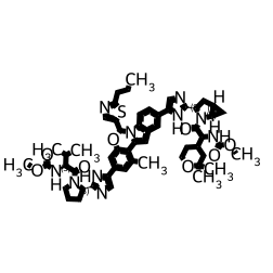 CCCc1ncc(C2Oc3cc(-c4cnc([C@@H]5CCCN5C(=O)[C@@H](NC(=O)OC)C(C)C)[nH]4)cc(C)c3-c3cc4cc(-c5cnc([C@@H]6C[C@H]7C[C@H]7N6C(=O)C(NC(=O)OC)C6CCOC(C)(C)C6)[nH]5)ccc4n32)s1